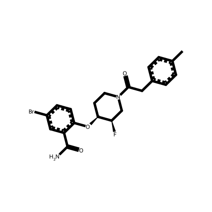 Cc1ccc(CC(=O)N2CC[C@H](Oc3ccc(Br)cc3C(N)=O)[C@H](F)C2)cc1